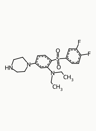 CCN(CC)c1cc(N2CCNCC2)ccc1S(=O)(=O)c1ccc(F)c(F)c1